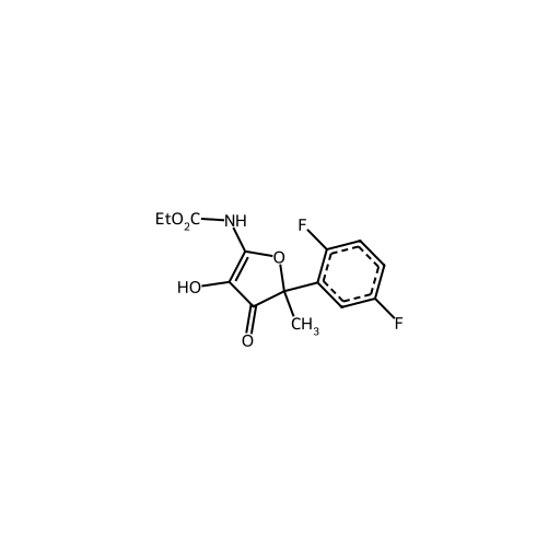 CCOC(=O)NC1=C(O)C(=O)C(C)(c2cc(F)ccc2F)O1